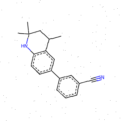 CC1CC(C)(C)Nc2ccc(-c3cccc(C#N)c3)cc21